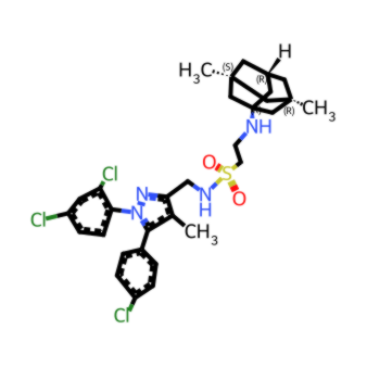 Cc1c(CNS(=O)(=O)CCN[C@@]23C[C@@H]4C[C@@](C)(C[C@@](C)(C4)C2)C3)nn(-c2ccc(Cl)cc2Cl)c1-c1ccc(Cl)cc1